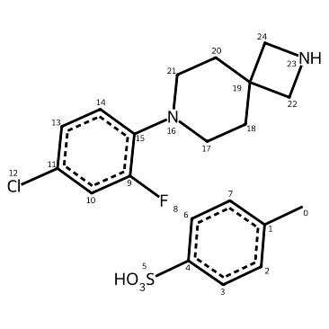 Cc1ccc(S(=O)(=O)O)cc1.Fc1cc(Cl)ccc1N1CCC2(CC1)CNC2